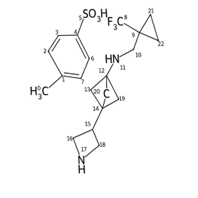 Cc1ccc(S(=O)(=O)O)cc1.FC(F)(F)C1(CNC23CC(C4CNC4)(C2)C3)CC1